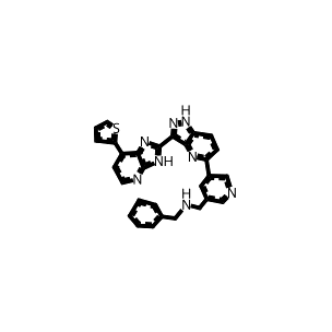 c1ccc(CNCc2cncc(-c3ccc4[nH]nc(-c5nc6c(-c7cccs7)ccnc6[nH]5)c4n3)c2)cc1